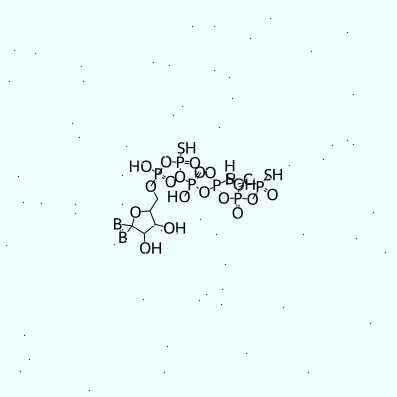 CP(=O)(S)OP(=O)(O)OP(=O)(S)OP(=O)(O)OP(=O)(S)OP(=O)(O)OCC1OC2(B=B2)C(O)C1O